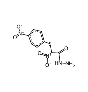 NNC(=O)C(Sc1ccc([N+](=O)[O-])cc1)[N+](=O)[O-]